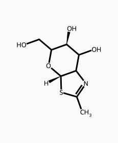 CC1=NC2C(O)[C@H](O)C(CO)O[C@H]2S1